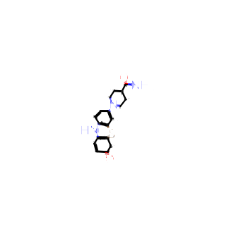 NC(=O)C1CCN(c2ccc3c(c2)SC2=C(C=CC(=O)C2)N3)CC1